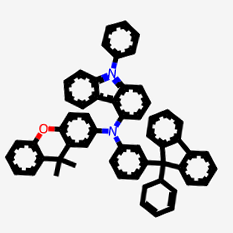 CC1(C)c2ccccc2Oc2ccc(N(c3cccc(C4(C5C=CC=CC5)c5ccccc5-c5ccccc54)c3)c3cccc4c3c3ccccc3n4-c3ccccc3)cc21